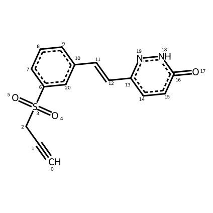 C#CCS(=O)(=O)c1cccc(C=Cc2ccc(=O)[nH]n2)c1